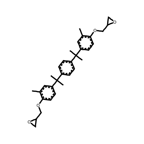 Cc1cc(C(C)(C)c2ccc(C(C)(C)c3ccc(OCC4CO4)c(C)c3)cc2)ccc1OCC1CO1